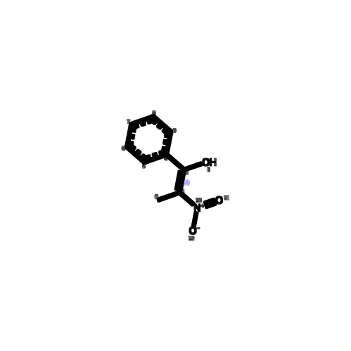 C/C(=C(/O)c1ccccc1)[N+](=O)[O-]